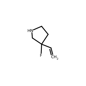 C=CC1(F)CCNC1